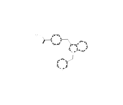 COC(=O)c1ccc(Cc2cn(Cc3cccnc3)c3ccccc23)cc1